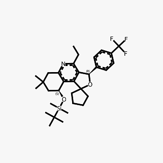 CCc1nc2c(c3c1[C@@H](c1ccc(C(F)(F)F)cc1)OC31CCCC1)[C@@H](O[Si](C)(C)C(C)(C)C)CC(C)(C)C2